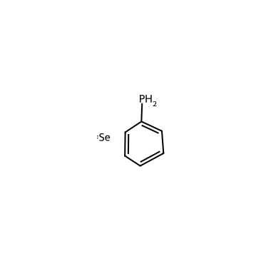 Pc1ccccc1.[Se]